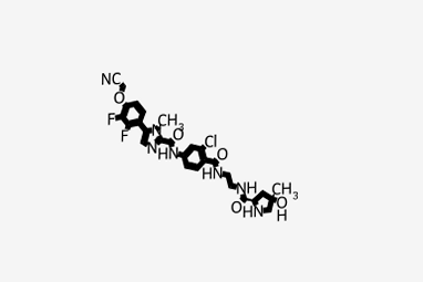 Cn1c(-c2ccc(OCC#N)c(F)c2F)cnc1C(=O)Nc1ccc(C(=O)NCCNC(=O)[C@H]2C[C@@](C)(O)CN2)c(Cl)c1